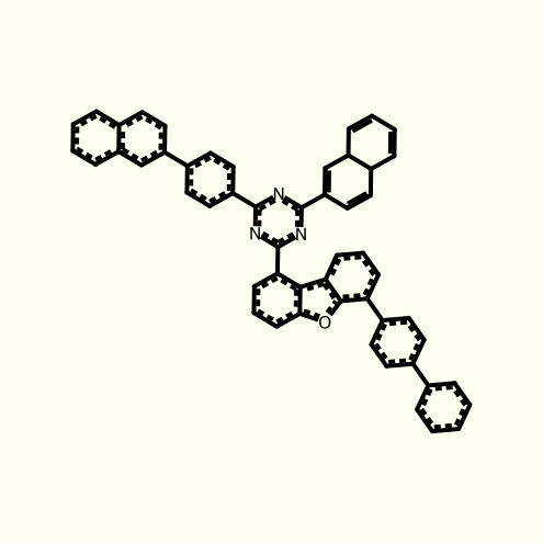 C1=CC2C=CC(c3nc(-c4ccc(-c5ccc6ccccc6c5)cc4)nc(-c4cccc5oc6c(-c7ccc(-c8ccccc8)cc7)cccc6c45)n3)=CC2C=C1